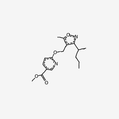 CCCC(C)c1noc(C)c1COc1ccc(C(=O)OC)cn1